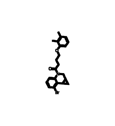 Cc1cccc(OCCCC(=O)N2CC3CC3c3c(Br)cccc32)c1C